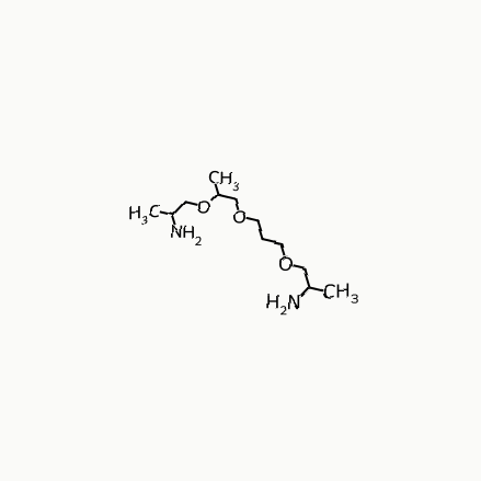 CC(N)COCCCOCC(C)OCC(C)N